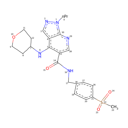 CCCn1ncc2c(NC3CCOCC3)c(C(=O)NCc3ccc(S(C)(=O)=O)cc3)cnc21